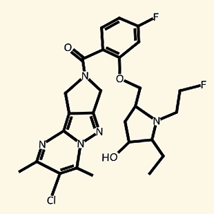 CCC1C(O)CC(COc2cc(F)ccc2C(=O)N2Cc3nn4c(C)c(Cl)c(C)nc4c3C2)N1CCF